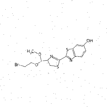 COC(OCCBr)C1CSC(c2nc3ccc(O)cc3s2)=N1